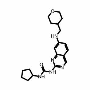 O=C(Nc1ncc2ccc(NCC3CCOCC3)cc2n1)NC1CCCC1